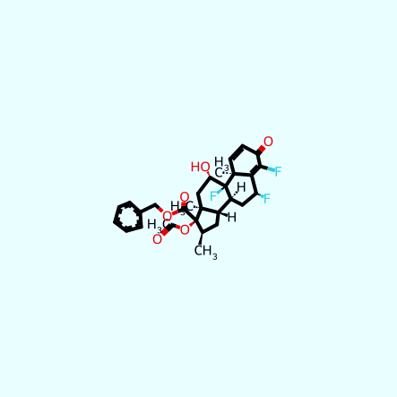 CC(=O)O[C@]1(C(=O)OCc2ccccc2)[C@H](C)C[C@H]2[C@@H]3C[C@H](F)C4=C(F)C(=O)C=C[C@]4(C)[C@@]3(F)[C@@H](O)C[C@@]21C